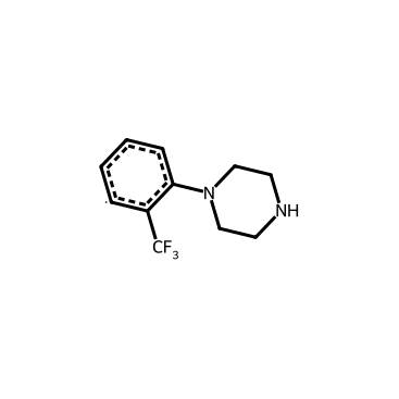 FC(F)(F)c1[c]cccc1N1CCNCC1